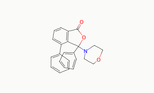 O=C1OC(c2ccccc2)(N2CCOCC2)c2c1cccc2-c1ccccc1